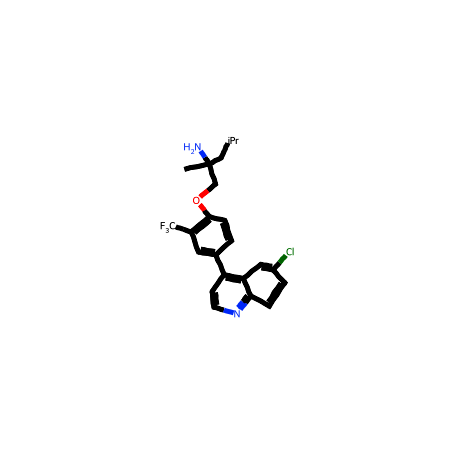 CC(C)CC(C)(N)COc1ccc(-c2ccnc3ccc(Cl)cc23)cc1C(F)(F)F